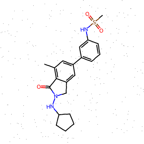 Cc1cc(-c2cccc(NS(C)(=O)=O)c2)cc2c1C(=O)N(NC1CCCC1)C2